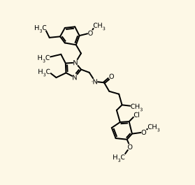 CCc1ccc(OC)c(Cn2c(C[N]C(=O)CCC(C)Cc3ccc(OC)c(OC)c3Cl)nc(CC)c2CC)c1